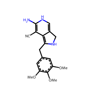 COc1cc(CC2=C3C(=CNC(N)=C3C#N)CN2)cc(OC)c1OC